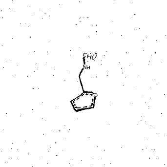 O=CNCc1ccco1